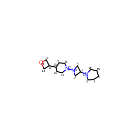 C1CCN(C2CN(N3CCC(C4COC4)CC3)C2)CC1